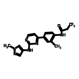 Cc1cc(-c2ccnc(Nc3cnn(C)c3)n2)ccc1NC(=O)CC(F)(F)F